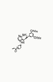 C=CC(=O)N1CC[C@@H](c2nc(C#Cc3cc(OC)cc(OC)c3)c3c(N)nccn23)C1